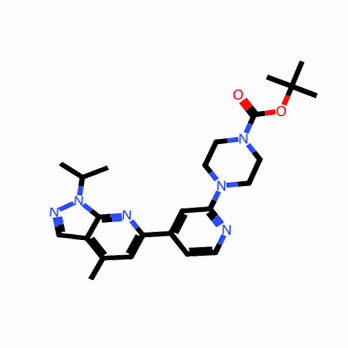 Cc1cc(-c2ccnc(N3CCN(C(=O)OC(C)(C)C)CC3)c2)nc2c1cnn2C(C)C